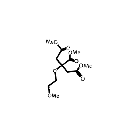 COCCOC(CC(=O)OC)(CC(=O)OC)C(=O)OC